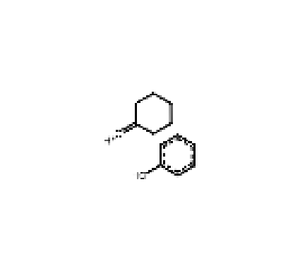 O=C1CCCCC1.Oc1ccccc1.[H+]